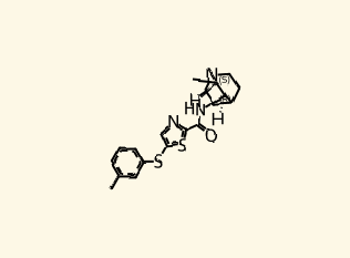 Cc1cccc(Sc2cnc(C(=O)N[C@@H]3C4CCN(CC4)[C@H]3C)s2)c1